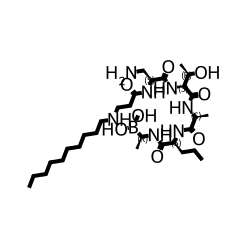 CCCCCCCCCCNCCC(=O)N[C@@H](CN)C(=O)N[C@H](C(=O)N[C@@H](C)C(=O)N[C@@H](CCC)C(=O)N[C@@H](C)B(O)O)[C@@H](C)O